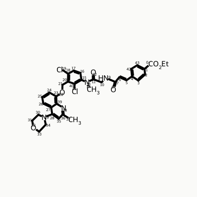 CCOC(=O)c1ccc(C=CC(=O)NCC(=O)N(C)c2ccc(Cl)c(COc3cccc4c(N5CCOCC5)cc(C)nc34)c2Cl)cc1